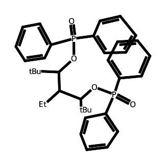 CCC(C(OP(=O)(c1ccccc1)c1ccccc1)C(C)(C)C)C(OP(=O)(c1ccccc1)c1ccccc1)C(C)(C)C